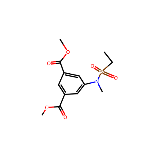 CCS(=O)(=O)N(C)c1cc(C(=O)OC)cc(C(=O)OC)c1